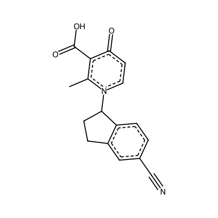 Cc1c(C(=O)O)c(=O)ccn1C1CCc2cc(C#N)ccc21